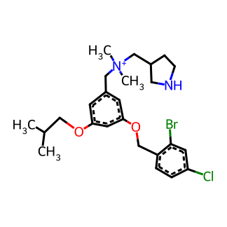 CC(C)COc1cc(C[N+](C)(C)CC2CCNC2)cc(OCc2ccc(Cl)cc2Br)c1